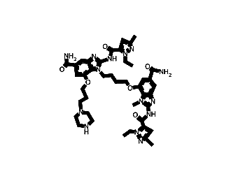 CCn1nc(C)cc1C(=O)Nc1nc2cc(C(N)=O)cc(OCCCCn3c(NC(=O)c4cc(C)nn4CC)nc4cc(C(N)=O)cc(OCCCN5CCNCC5)c43)c2n1C